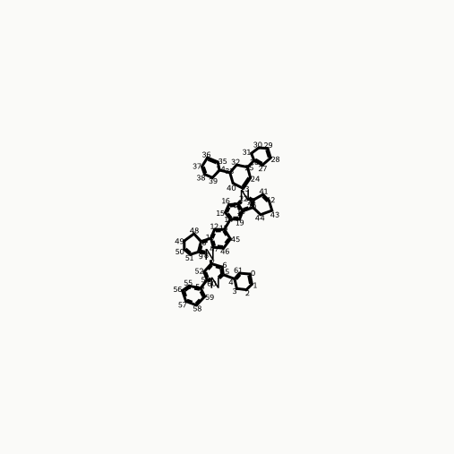 C1=CCCC(c2cc(-n3c4c(c5cc(-c6ccc7c(c6)c6c(n7C7=CC(C8=CC=CCC8)CC(C8C=CC=CC8)C7)C=CCC6)ccc53)CCC=C4)cc(-c3ccccc3)n2)=C1